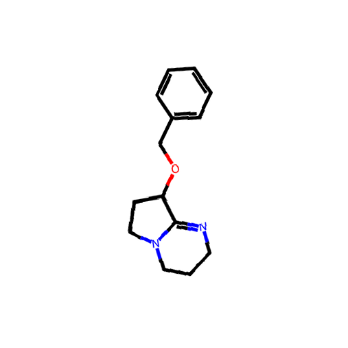 c1ccc(COC2CCN3CCCN=C23)cc1